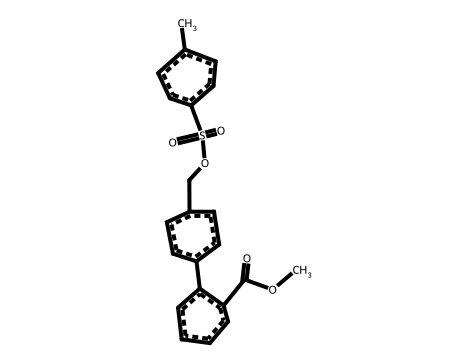 COC(=O)c1ccccc1-c1ccc(COS(=O)(=O)c2ccc(C)cc2)cc1